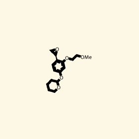 COCCOc1cc(OC2CCCCO2)ccc1[C@H]1CO1